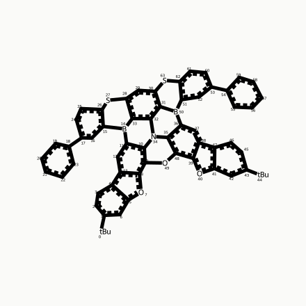 CC(C)(C)c1ccc2c(c1)oc1c3c4c(cc12)B1c2cc(-c5ccccc5)ccc2Sc2cc5c6c(c21)N4c1c(cc2c(oc4cc(C(C)(C)C)ccc42)c1O3)B6c1cc(-c2ccccc2)ccc1S5